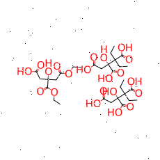 CCC(CC)(C(=O)O)C(O)(CC(=O)O)C(=O)O.CCC(CC)(C(=O)O)C(O)(CC(=O)O)C(=O)O.CCOC(=O)CC(O)(CC(=O)O)C(=O)OCC